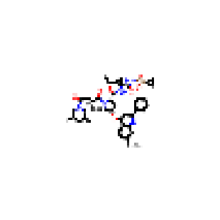 C=CC1C[C@]1(NC(=O)[C@@H]1C[C@@H](Oc2cc(-c3ccccc3)nc3cc(OC)ccc23)CN1C(=O)[C@@H](CC(=O)N1CC(C)CC(C)C1)C(C)(C)C)C(=O)NS(=O)(=O)C1CC1